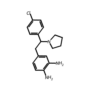 Nc1ccc(CC(c2ccc(Cl)cc2)N2CCCC2)cc1N